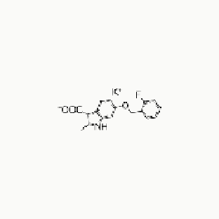 Cc1[nH]c2cc(OCc3ccccc3F)ccc2c1C(=O)[O-].[K+]